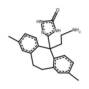 Cc1ccc2c(c1)CCc1cc(C)ccc1C2(CCN)c1n[nH]c(=O)[nH]1